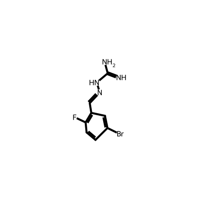 N=C(N)NN=Cc1cc(Br)ccc1F